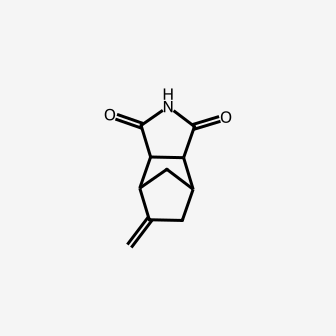 C=C1CC2CC1C1C(=O)NC(=O)C21